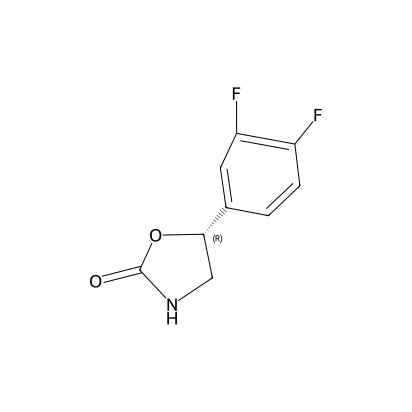 O=C1NC[C@@H](c2ccc(F)c(F)c2)O1